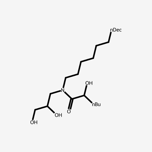 CCCCCCCCCCCCCCCCN(CC(O)CO)C(=O)C(O)CCCC